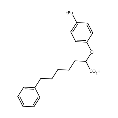 CC(C)(C)c1ccc(OC(CCCCCc2ccccc2)C(=O)O)cc1